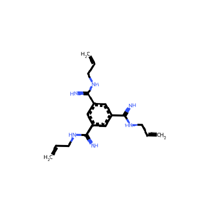 C=CCNC(=N)c1cc(C(=N)NCC=C)cc(C(=N)NCC=C)c1